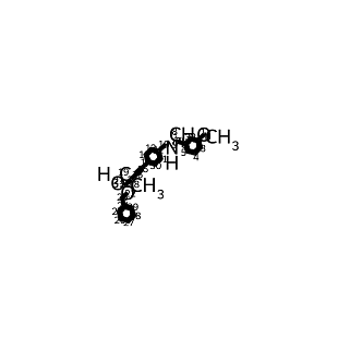 COc1cccc([C@@H](C)NCc2ccc(C#CC(C)(C)C(=O)OCc3ccccc3)cc2)c1